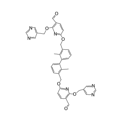 Cc1c(COc2ccc(C=O)c(OCc3cncnc3)n2)cccc1-c1cccc(COc2ccc(C=O)c(OCc3cncnc3)n2)c1C